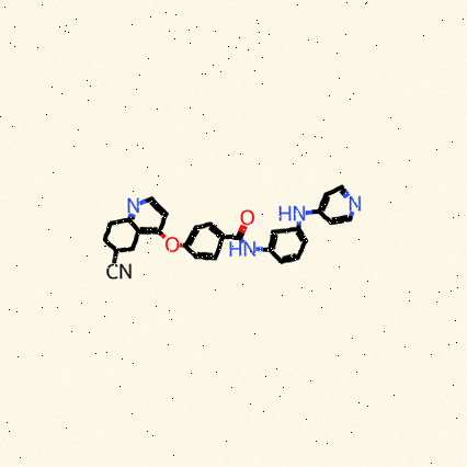 N#CC1CCc2nccc(Oc3ccc(C(=O)Nc4cccc(Nc5ccncc5)c4)cc3)c2C1